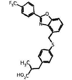 CC(Cc1ccc(SCc2cccc3oc(-c4ccc(C(F)(F)F)cc4)nc23)cc1)C(=O)O